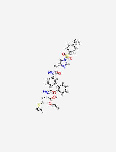 COC(=O)C(CCSC)NC(=O)c1ccc(NC(=O)Cc2cn(S(=O)(=O)c3ccc(C)cc3)cn2)cc1-c1ccccc1